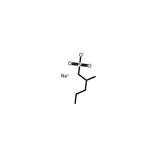 CCCC(C)CS(=O)(=O)[O-].[Na+]